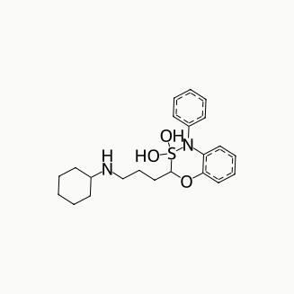 OS1(O)C(CCCNC2CCCCC2)Oc2ccccc2N1c1ccccc1